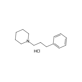 Cl.c1ccc(CCCN2CCCCC2)cc1